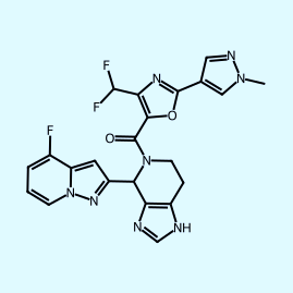 Cn1cc(-c2nc(C(F)F)c(C(=O)N3CCc4[nH]cnc4C3c3cc4c(F)cccn4n3)o2)cn1